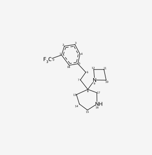 FC(F)(F)c1cccc(CCC2(N3CCC3)CCCNC2)c1